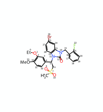 CCOc1cc([C@H](CS(C)(=O)=O)n2c(=O)n(Cc3ccccc3F)c3cc(Br)ccc32)ccc1OC